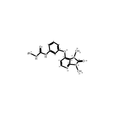 CC(C)NC(=O)Nc1cccc(Oc2ccnc3c2n(C)c(=O)n3C)c1